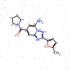 Cc1ccc(-c2nc3cc(C(=O)N4CCCC4)cc(N)n3n2)o1